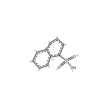 O=S(=O)(O)c1[c]ccc2ccccc12